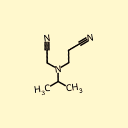 CC(C)N(CC#N)CCC#N